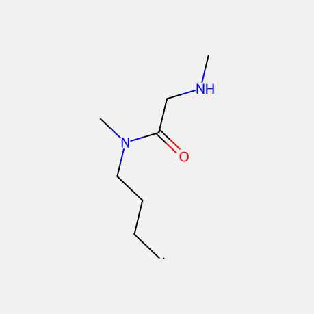 [CH2]CCCN(C)C(=O)CNC